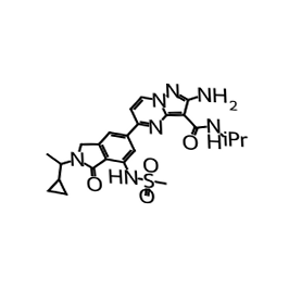 CC(C)NC(=O)c1c(N)nn2ccc(-c3cc4c(c(NS(C)(=O)=O)c3)C(=O)N(C(C)C3CC3)C4)nc12